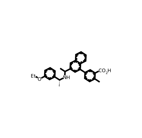 CCOc1cccc([C@@H](C)NC(C)c2cc(-c3ccc(C)c(C(=O)O)c3)c3ccccc3c2)c1